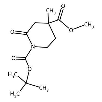 COC(=O)C1(C)CCN(C(=O)OC(C)(C)C)C(=O)C1